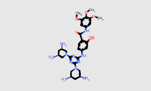 COc1cc(NC(=O)c2ccc(Nc3nc(N4C[C@H](N)C[C@H](N)C4)nc(N4C[C@H](N)C[C@H](N)C4)n3)cc2O)cc(OC)c1OC